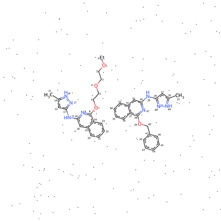 CCOCCOCCOc1nc(Nc2cc(C)[nH]n2)cc2ccccc12.Cc1cc(Nc2cc3ccccc3c(OCc3ccccc3)n2)n[nH]1